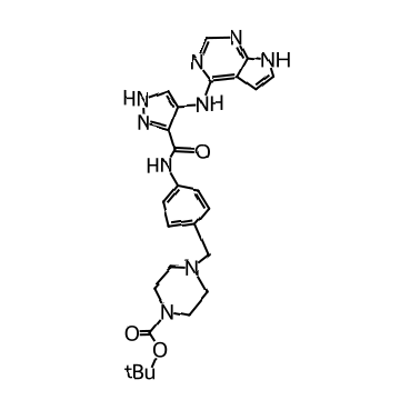 CC(C)(C)OC(=O)N1CCN(Cc2ccc(NC(=O)c3n[nH]cc3Nc3ncnc4[nH]ccc34)cc2)CC1